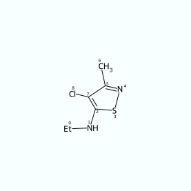 CCNc1snc(C)c1Cl